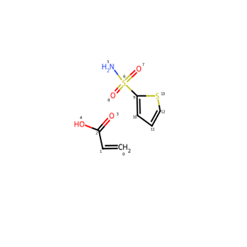 C=CC(=O)O.NS(=O)(=O)c1cccs1